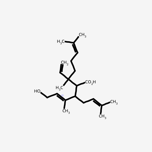 C=CC(C)(CCC=C(C)C)C(C(=O)O)C(CC=C(C)C)/C(C)=C/CO